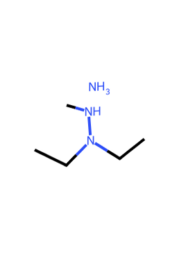 CCN(CC)NC.N